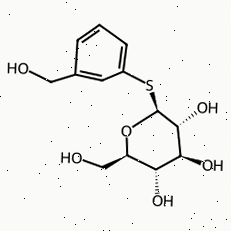 OCc1cccc(S[C@@H]2O[C@H](CO)[C@@H](O)[C@H](O)[C@H]2O)c1